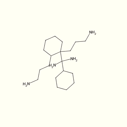 NCCCC1CCCCC1(CCCN)C(N)(N)C1CCCCC1